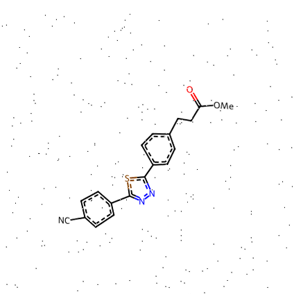 COC(=O)CCc1ccc(-c2nnc(-c3ccc(C#N)cc3)s2)cc1